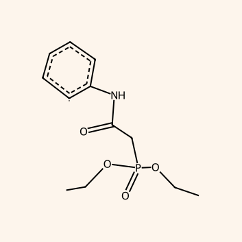 CCOP(=O)(CC(=O)Nc1[c]cccc1)OCC